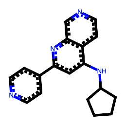 c1cc(-c2cc(NC3CCCC3)c3ccncc3n2)ccn1